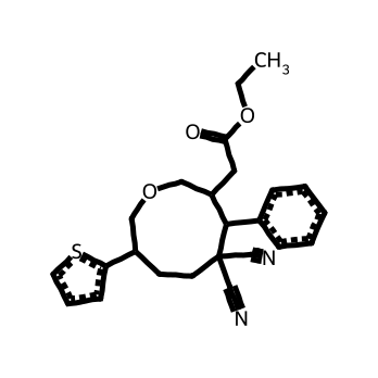 CCOC(=O)CC1COCC(c2cccs2)CCC(C#N)(C#N)C1c1ccccc1